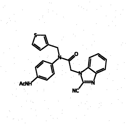 CC(=O)Nc1ccc(N(Cc2ccsc2)C(=O)Cn2c(C#N)nc3ccccc32)cc1